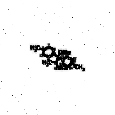 CN[C@@H](C)C(OC)(c1ccc(C)cc1)c1ccc(C)cc1